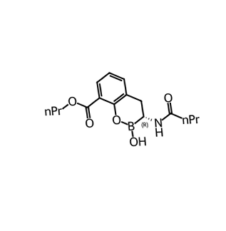 CCCOC(=O)c1cccc2c1OB(O)[C@@H](NC(=O)CCC)C2